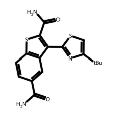 CC(C)(C)c1csc(-c2c(C(N)=O)sc3ccc(C(N)=O)cc23)n1